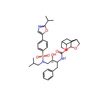 CC(C)CN(C[C@@H](O)C(Cc1ccccc1)NC(=O)OC1C2COC3OCC1C3C2)S(=O)(=O)c1ccc(-c2cnc(C(C)C)o2)cc1